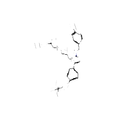 O=C(O)CNCCCn1c(-c2ccc(OC(F)(F)F)cc2)cs/c1=N\Cc1ccc(Cl)cc1